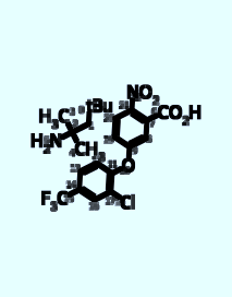 CC(C)(C)CC(C)(C)N.O=C(O)c1cc(Oc2ccc(C(F)(F)F)cc2Cl)ccc1[N+](=O)[O-]